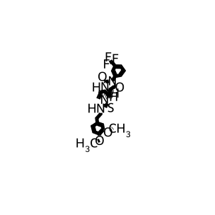 COc1ccc(CCNC(=S)N2C[C@@H]3C[C@H]2[C@@H]2C(=O)N(c4cccc(C(F)(F)F)c4)C(=O)N32)cc1OC